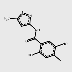 Cc1cc(O)c(C(=O)Nc2cc(C(F)(F)F)sn2)cc1N=O